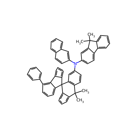 CC1(C)c2ccccc2-c2ccc(N(c3ccc4c(c3)C3(c5ccccc5-c5c(-c6ccccc6)cccc53)c3ccccc3C4(C)C)c3ccc4ccccc4c3)cc21